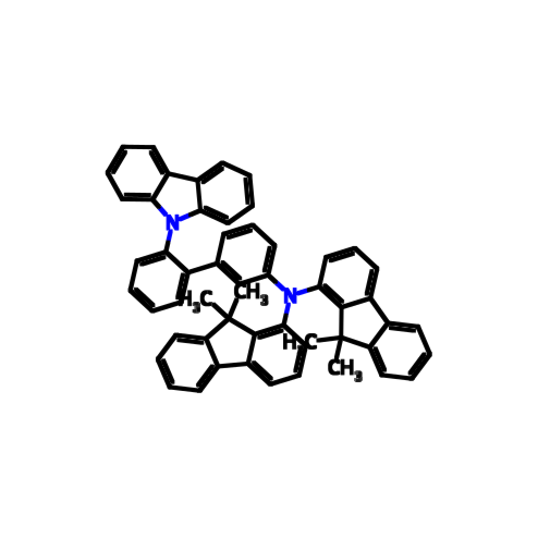 CC1(C)c2ccccc2-c2cccc(N(c3cccc(-c4ccccc4-n4c5ccccc5c5ccccc54)c3)c3cccc4c3C(C)(C)c3ccccc3-4)c21